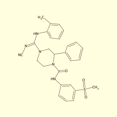 Cc1ccccc1N/C(=N/C#N)N1CCN(C(=O)Nc2cccc(S(C)(=O)=O)c2)C(c2ccccc2)C1